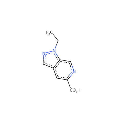 O=C(O)c1cc2cnn(CC(F)(F)F)c2cn1